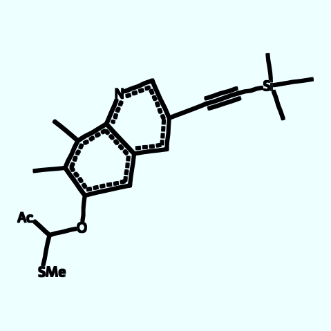 CSC(Oc1cc2cc(C#C[Si](C)(C)C)cnc2c(C)c1C)C(C)=O